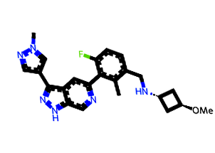 CO[C@H]1C[C@H](NCc2ccc(F)c(-c3cc4c(-c5cnn(C)c5)n[nH]c4cn3)c2C)C1